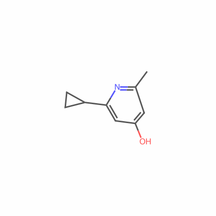 Cc1cc(O)cc(C2CC2)n1